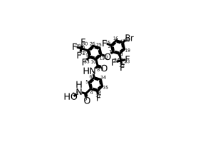 O=C(NO)c1cc(NC(=O)c2c(Oc3c(F)cc(Br)cc3C(F)(F)F)ccc(C(F)(F)F)c2F)ccc1F